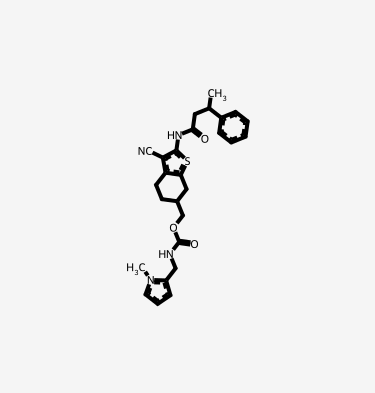 CC(CC(=O)Nc1sc2c(c1C#N)CCC(COC(=O)NCc1cccn1C)C2)c1ccccc1